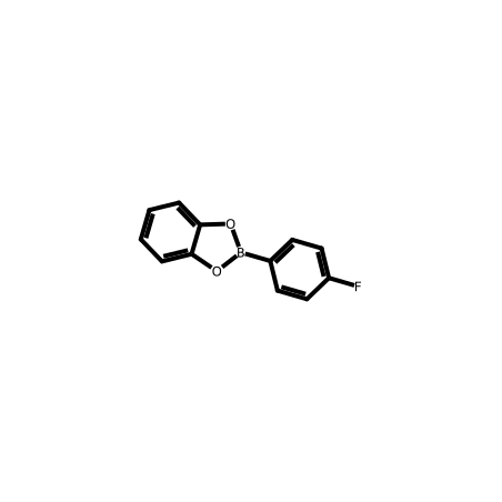 Fc1ccc(B2Oc3ccccc3O2)cc1